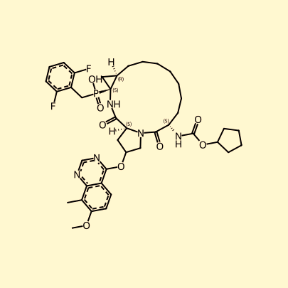 COc1ccc2c(OC3C[C@H]4C(=O)N[C@]5(P(=O)(O)Cc6c(F)cccc6F)C[C@H]5CCCCCCC[C@H](NC(=O)OC5CCCC5)C(=O)N4C3)ncnc2c1C